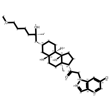 COCCCC[C@@](C)(O)C[C@@H]1CC[C@@H]2[C@H](CC[C@]3(C)[C@@H](C(=O)Cn4ncc5ncc(Cl)cc54)CC[C@@H]23)C1